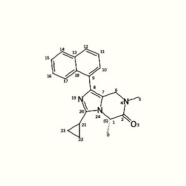 C[C@H]1C(=O)N(C)Cc2c(-c3cccc4ccccc34)nc(C3CC3)n21